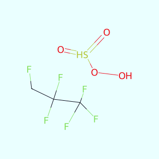 FCC(F)(F)C(F)(F)F.O=[SH](=O)OO